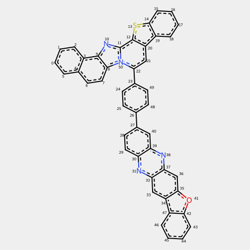 c1ccc2c(c1)ccc1c2nc2c3sc4ccccc4c3cc(-c3ccc(-c4ccc5nc6cc7c(cc6nc5c4)oc4ccccc47)cc3)n12